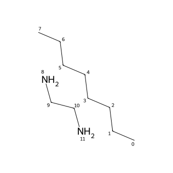 CCCCCCCC.NCCN